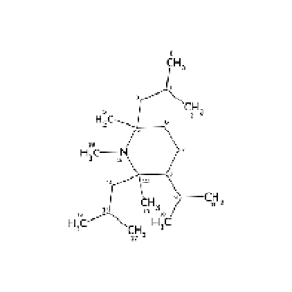 CC(C)CC1(C)CCC(C(C)C)C(C)(CC(C)C)N1C